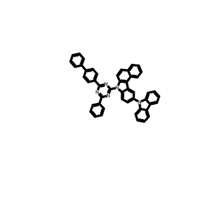 c1ccc(-c2ccc(-c3nc(-c4ccccc4)nc(-n4c5ccc(-n6c7ccccc7c7ccccc76)cc5c5c6ccccc6ccc54)n3)cc2)cc1